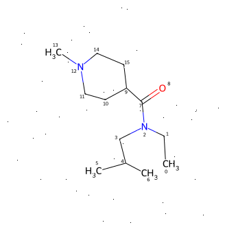 CCN(CC(C)C)C(=O)C1CCN(C)CC1